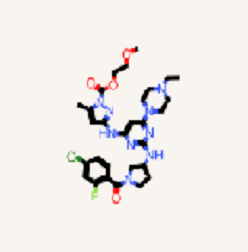 CCN1CCN(c2cc(Nc3cc(C)n(C(=O)OCCOC)n3)nc(N[C@H]3CCN(C(=O)c4ccc(Cl)cc4F)C3)n2)CC1